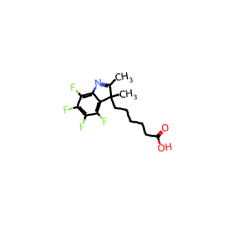 CC1=Nc2c(F)c(F)c(F)c(F)c2C1(C)CCCCCC(=O)O